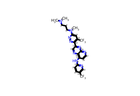 CN(C)CCCN(C)c1cc(C(F)(F)F)c(-c2cnc3c(Nc4ccc(C(F)(F)F)cn4)ccnc3n2)nn1